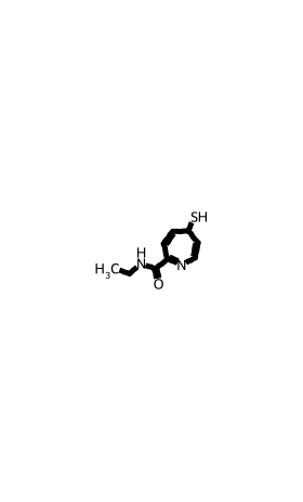 CCNC(=O)C1=NC=CC(S)C=C1